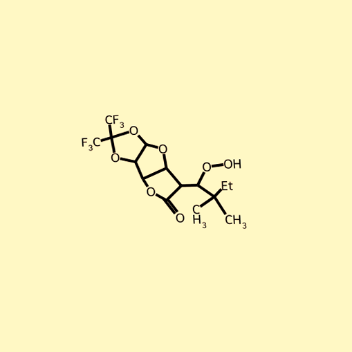 CCC(C)(C)C(OO)C1C(=O)OC2C3OC(C(F)(F)F)(C(F)(F)F)OC3OC21